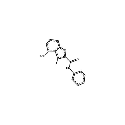 CC(=O)Oc1cccc2oc(C(=O)Nc3ccccc3)c(C)c12